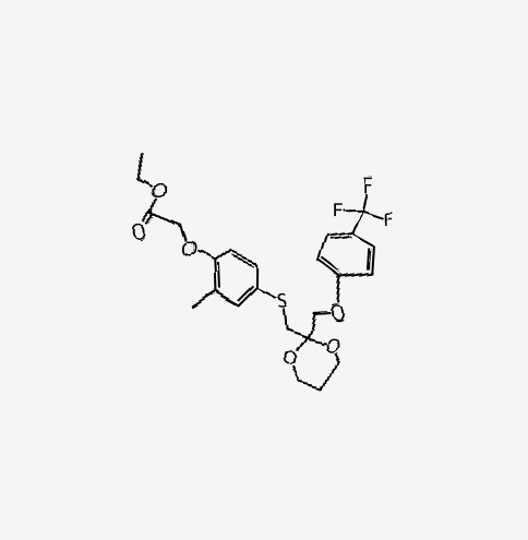 CCOC(=O)COc1ccc(SCC2(COc3ccc(C(F)(F)F)cc3)OCCCO2)cc1C